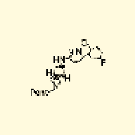 CCCC(C)CN1C[C@H]2C[C@@H](Nc3ccc(-c4cc(F)ccc4Cl)nn3)C[C@H]2C1